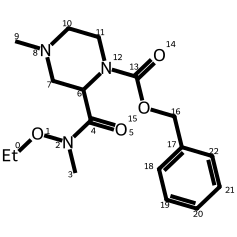 CCON(C)C(=O)C1CN(C)CCN1C(=O)OCc1ccccc1